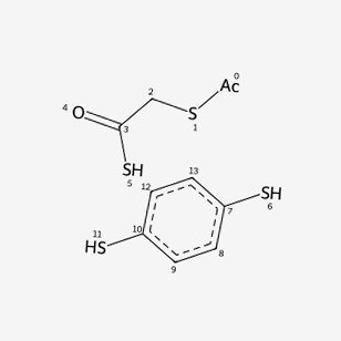 CC(=O)SCC(=O)S.Sc1ccc(S)cc1